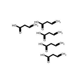 C=CCC(=O)O.C=CCC(=O)O.C=CCC(=O)O.C=CCC(=O)O.C=CCC(=O)O